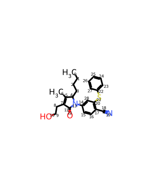 CCCCC1C(C)=C(CCO)C(=O)N1c1ccc(C#N)c(Sc2ccccc2)c1